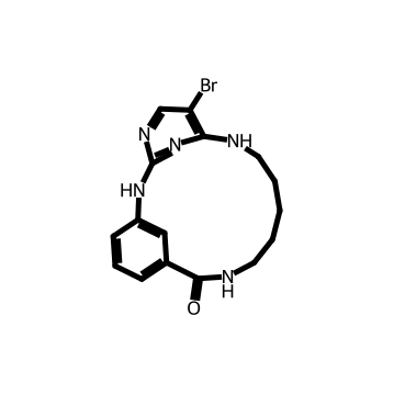 O=C1NCCCCCNc2nc(ncc2Br)Nc2cccc1c2